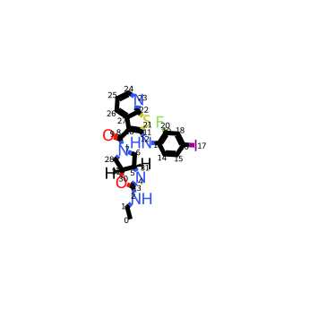 CCNC1=N[C@H]2CN(C(=O)c3c(Nc4ccc(I)cc4F)sc4ncccc34)C[C@H]2O1